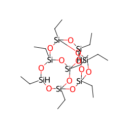 CC[SiH]1O[Si]2(CC)O[Si]3(CC)O[SiH](CC)O[Si]4(CC)O[Si](CC)(O1)O[Si](CC)(O2)O[Si](CC)(O3)O4